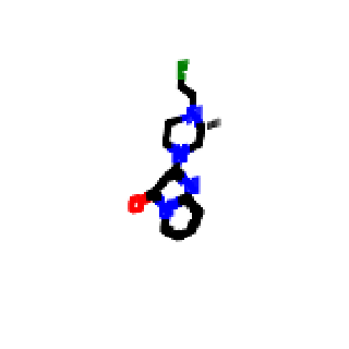 C[C@@H]1CN(c2cc(=O)n3ccccc3n2)CCN1CCF